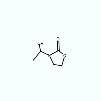 CC(O)N1CCOC1=O